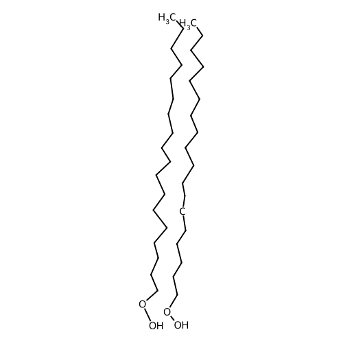 CCCCCCCCCCCCCCCCCCOO.CCCCCCCCCCCCCCCCCCOO